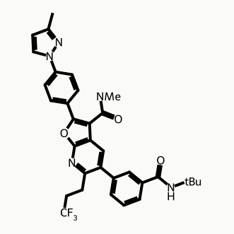 CNC(=O)c1c(-c2ccc(-n3ccc(C)n3)cc2)oc2nc(CCC(F)(F)F)c(-c3cccc(C(=O)NC(C)(C)C)c3)cc12